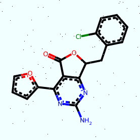 Nc1nc(-c2ccco2)c2c(n1)C(Cc1ccccc1Cl)OC2=O